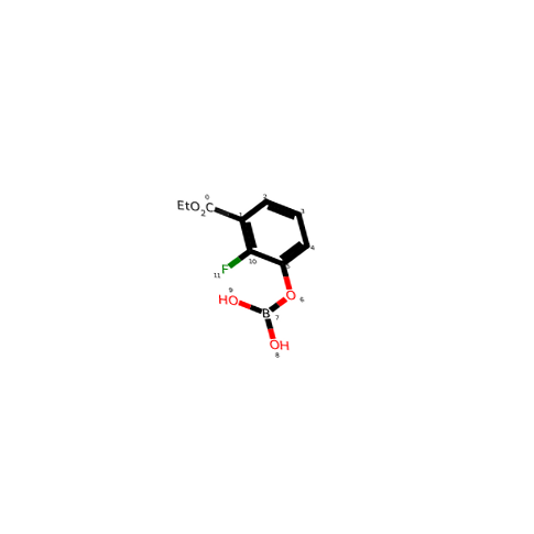 CCOC(=O)c1cccc(OB(O)O)c1F